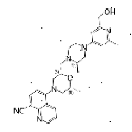 Cc1cc(N2CCN(C[C@H]3CN(c4ccc(C#N)c5ncccc45)C[C@@H](C)O3)[C@H](C)C2)cc(CO)n1